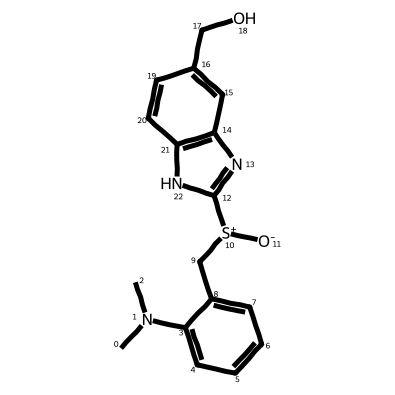 CN(C)c1ccccc1C[S+]([O-])c1nc2cc(CO)ccc2[nH]1